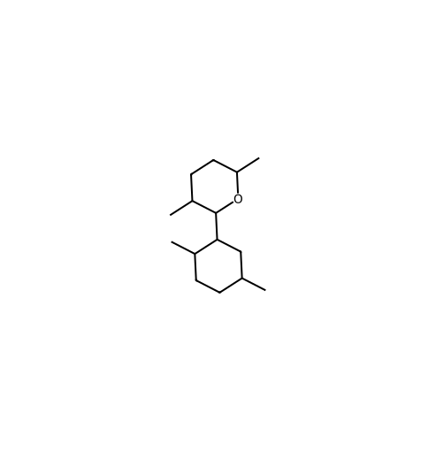 CC1CCC(C)C(C2OC(C)CCC2C)C1